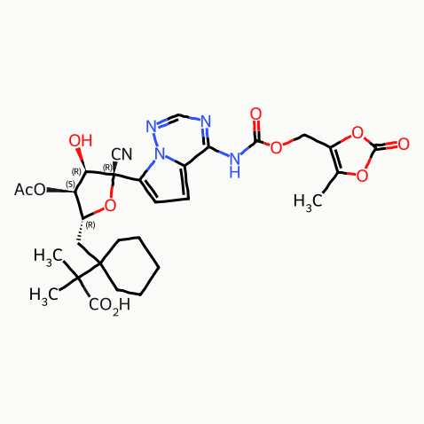 CC(=O)O[C@H]1[C@@H](O)[C@](C#N)(c2ccc3c(NC(=O)OCc4oc(=O)oc4C)ncnn23)O[C@@H]1CC1(C(C)(C)C(=O)O)CCCCC1